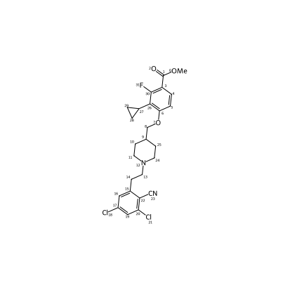 COC(=O)c1ccc(OCC2CCN(CCc3cc(Cl)cc(Cl)c3C#N)CC2)c(C2CC2)c1F